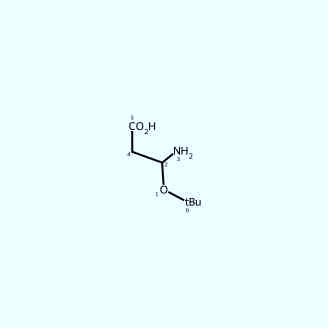 CC(C)(C)OC(N)CC(=O)O